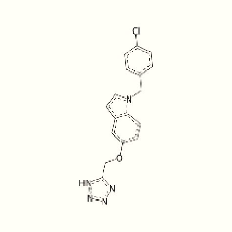 Clc1ccc(Cn2ccc3cc(OCc4nnn[nH]4)ccc32)cc1